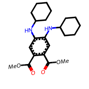 COC(=O)c1cc(NC2CCCCC2)c(NC2CCCCC2)cc1C(=O)OC